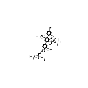 COC(=O)c1c(OC)c(-c2ccc(OCCC=C(C)C)c(O)c2)cc(OC)c1-c1ccc(F)cc1